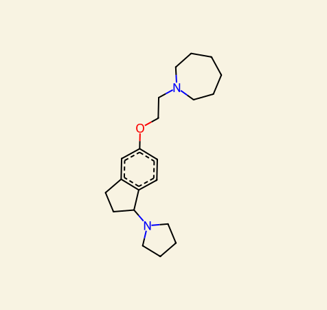 c1cc2c(cc1OCCN1CCCCCC1)CCC2N1CCCC1